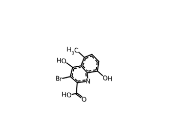 Cc1ccc(O)c2nc(C(=O)O)c(Br)c(O)c12